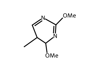 COC1=NC(OC)C(C)C=N1